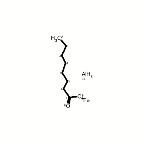 CCCCCCCC(=O)OF.[AlH3]